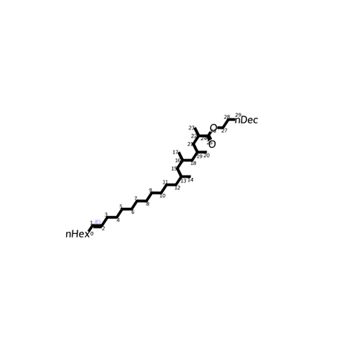 CCCCCC/C=C/CCCCCCCCCCC(C)CC(C)CC(C)CC(C)C(=O)OCCCCCCCCCCCC